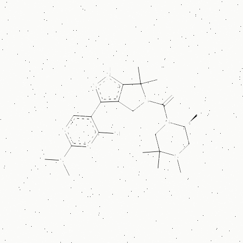 C[C@H]1CN(C)C(C)(C)CN1C(=O)N1Cc2c(-c3cnc(N(C)C)nc3N)n[nH]c2C1(C)C